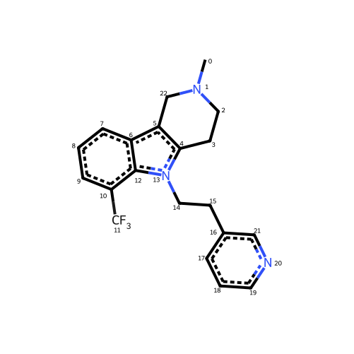 CN1CCc2c(c3cccc(C(F)(F)F)c3n2CCc2cccnc2)C1